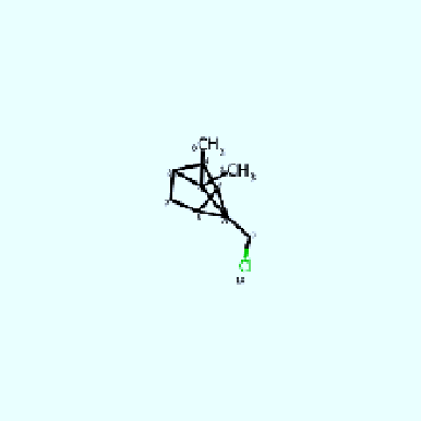 CC1(C)C2CC3C(C2)C31CCl